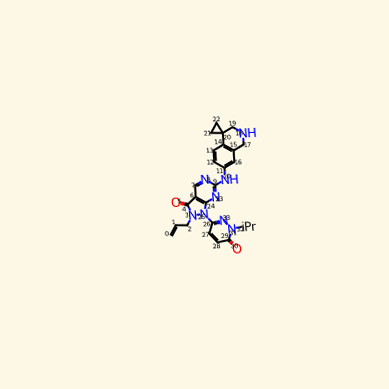 C=CCn1c(=O)c2cnc(Nc3ccc4c(c3)CNCC43CC3)nc2n1-c1ccc(=O)n(C(C)C)n1